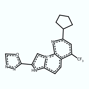 FC(F)(F)c1cc(C2CCCC2)nc2c1ccc1[nH]c(-c3nnco3)c[n+]12